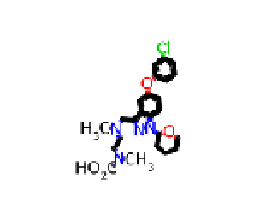 CN(CCN(C)C(=O)O)Cc1nn(C2CCCCO2)c2ccc(Oc3cccc(Cl)c3)cc12